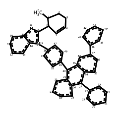 CC1CCC=CC1c1nc2ccccc2n1-c1ccc(-c2c3ccccc3c(-c3ccccc3)c3ccc(-c4ccccc4)cc23)cc1